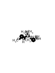 COCc1cccc2c(-c3nc(NCc4cccc(B(O)O)c4)nc(N(C)C)n3)c(C)[nH]c12